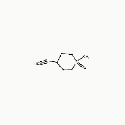 C#CC1CCP(C)(=O)CC1